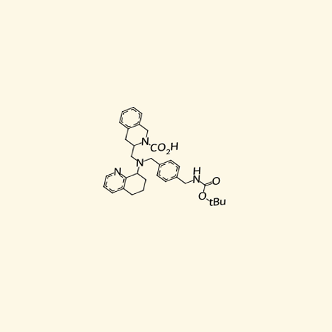 CC(C)(C)OC(=O)NCc1ccc(CN(CC2Cc3ccccc3CN2C(=O)O)C2CCCc3cccnc32)cc1